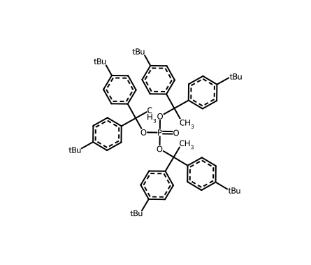 CC(C)(C)c1ccc(C(C)(OP(=O)(OC(C)(c2ccc(C(C)(C)C)cc2)c2ccc(C(C)(C)C)cc2)OC(C)(c2ccc(C(C)(C)C)cc2)c2ccc(C(C)(C)C)cc2)c2ccc(C(C)(C)C)cc2)cc1